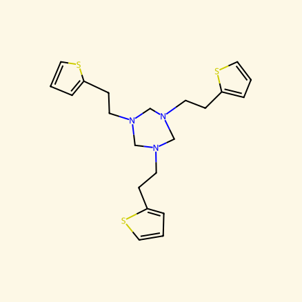 c1csc(CCN2CN(CCc3cccs3)CN(CCc3cccs3)C2)c1